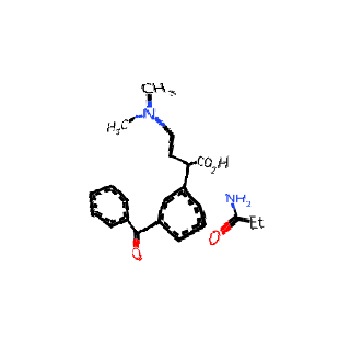 CCC(N)=O.CN(C)CCC(C(=O)O)c1cccc(C(=O)c2ccccc2)c1